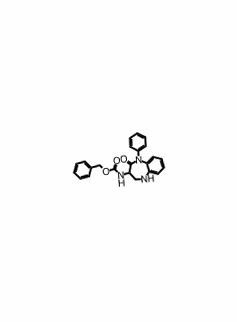 O=C(NC1CNc2ccccc2N(c2ccccc2)C1=O)OCc1ccccc1